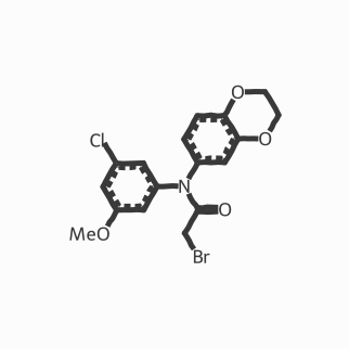 COc1cc(Cl)cc(N(C(=O)CBr)c2ccc3c(c2)OCCO3)c1